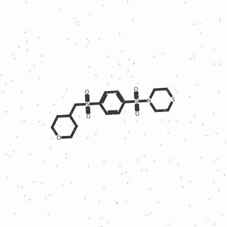 O=S(=O)(CC1CCOCC1)c1ccc(S(=O)(=O)N2CCSCC2)cc1